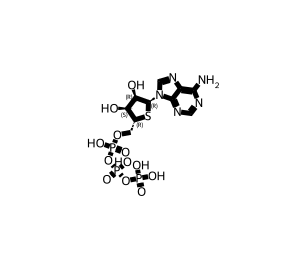 Nc1ncnc2c1ncn2[C@@H]1S[C@H](COP(=O)(O)OP(=O)(O)OP(=O)(O)O)[C@@H](O)[C@H]1O